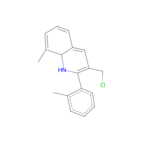 CC1=CC=CC2=CC(CCl)=C(c3ccccc3C)NC12